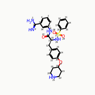 N=C(N)c1cccc(NC(=O)[C@H](Cc2ccc(OC3CCNCC3)cc2)NS(=O)(=O)c2ccccc2)c1